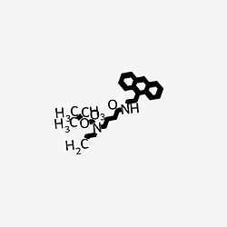 C=CCN(CCCC(=O)NCCc1c2ccccc2cc2ccccc12)C(=O)OC(C)(C)C